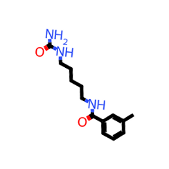 Cc1cccc(C(=O)NCCCCCNC(N)=O)c1